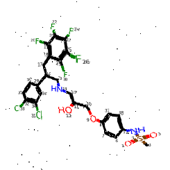 CS(=O)(=O)Nc1ccc(OCC(O)CNCC(Cc2c(F)c(F)c(F)c(F)c2F)c2ccc(Cl)c(Cl)c2)cc1